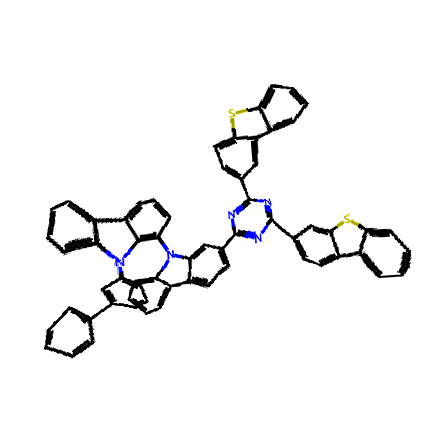 c1ccc(-c2cccc(-n3c4ccccc4c4cccc(-n5c6ccccc6c6ccc(-c7nc(-c8ccc9c(c8)sc8ccccc89)nc(-c8ccc9sc%10ccccc%10c9c8)n7)cc65)c43)c2)cc1